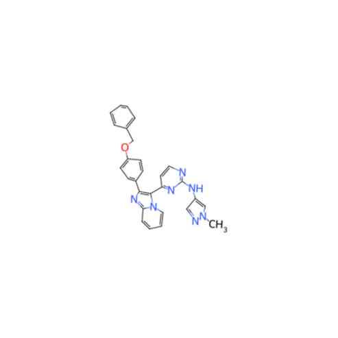 Cn1cc(Nc2nccc(-c3c(-c4ccc(OCc5ccccc5)cc4)nc4ccccn34)n2)cn1